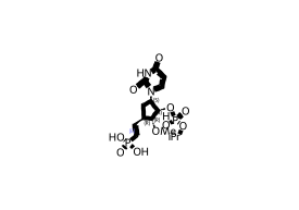 CO[C@H]1[C@@H](OP(=O)(O)OC(C)C)[C@@H](n2ccc(=O)[nH]c2=O)C[C@@H]1/C=C/P(=O)(O)O